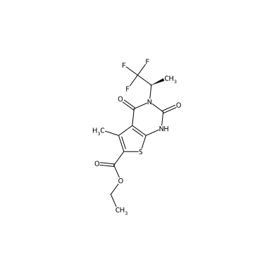 CCOC(=O)c1sc2[nH]c(=O)n([C@H](C)C(F)(F)F)c(=O)c2c1C